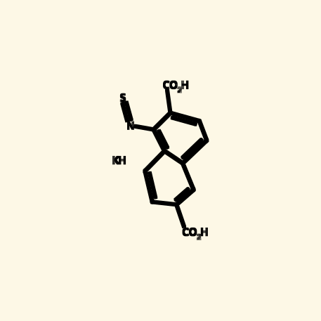 O=C(O)c1ccc2c(N=S)c(C(=O)O)ccc2c1.[KH]